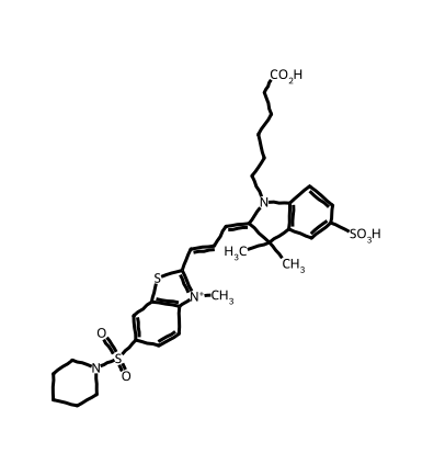 C[n+]1c(/C=C/C=C2/N(CCCCCC(=O)O)c3ccc(S(=O)(=O)O)cc3C2(C)C)sc2cc(S(=O)(=O)N3CCCCC3)ccc21